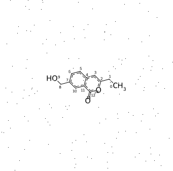 CCc1cc2ccc(CO)cc2c(=O)o1